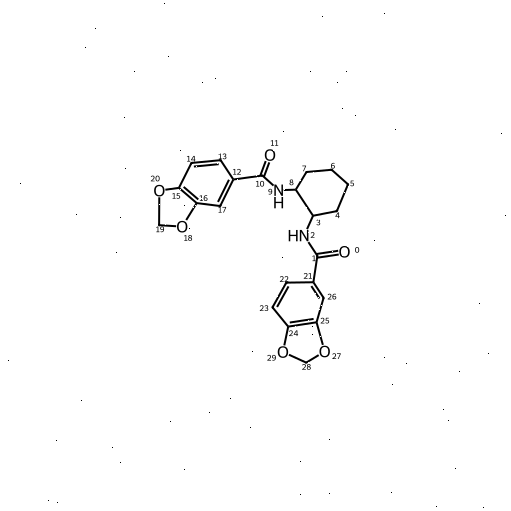 O=C(NC1CCCCC1NC(=O)c1ccc2c(c1)OCO2)c1ccc2c(c1)OCO2